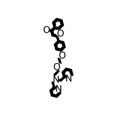 O=c1cc(-c2ccc(OCCOCCN(Cc3ccccn3)Cc3ccccn3)cc2)oc2ccccc12